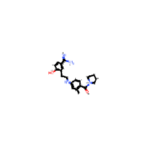 Cc1cc(NCCc2cc(C(=N)N)ccc2O)ccc1C(=O)N1CCCC1